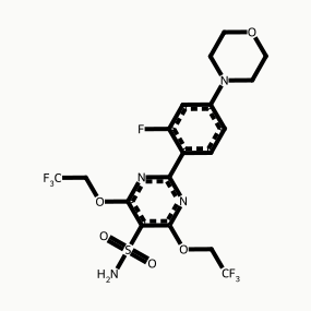 NS(=O)(=O)c1c(OCC(F)(F)F)nc(-c2ccc(N3CCOCC3)cc2F)nc1OCC(F)(F)F